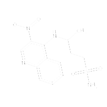 CC(CCS(N)(=O)=O)Nc1c([N+](=O)[O-])cnc2ccccc12